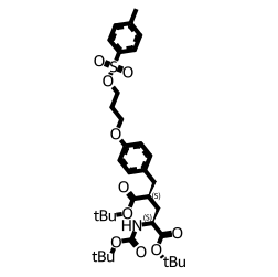 Cc1ccc(S(=O)(=O)OCCCOc2ccc(C[C@@H](C[C@H](NC(=O)OC(C)(C)C)C(=O)OC(C)(C)C)C(=O)OC(C)(C)C)cc2)cc1